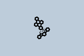 c1ccc2c(c1)sc1c2ccc2c3ccccc3n(-c3ccc4c(c3)c3cccc5c6ccccc6c6cccc4c6c53)c21